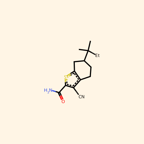 CCC(C)(C)C1CCc2c(sc(C(N)=O)c2C#N)C1